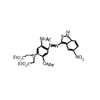 CCOC(=O)CN(CC(=O)OCC)c1cc(NC(C)=O)c(/N=N/C2=C3C=C([N+](=O)[O-])C=CC3NS2)cc1OC